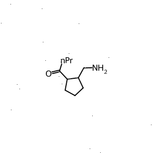 CCCC(=O)C1CCCC1CN